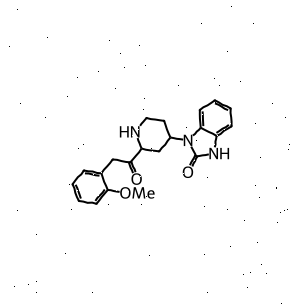 COc1ccccc1CC(=O)C1CC(n2c(=O)[nH]c3ccccc32)CCN1